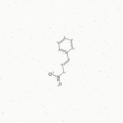 Cl[SiH](Cl)CC=Cc1ccccc1